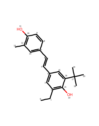 CCc1cc(C=Cc2ccc(O)c(C)c2)cc(C(C)(C)C)c1O